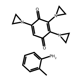 Cc1ccccc1P.O=C1C=C(N2CC2)C(=O)C(N2CC2)=C1N1CC1